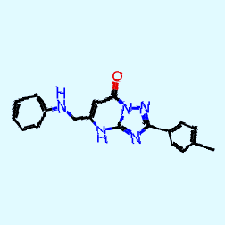 Cc1ccc(-c2nc3[nH]c(CNc4ccccc4)cc(=O)n3n2)cc1